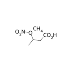 C.CC(CC(=O)O)O[N+](=O)[O-]